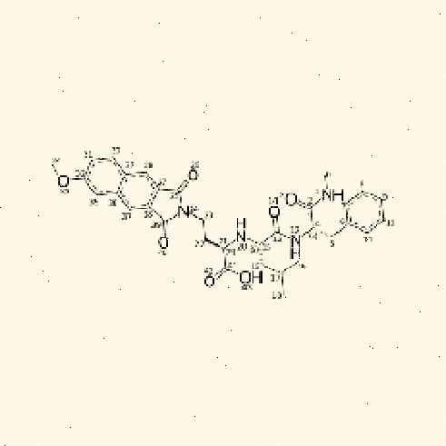 CNC(=O)[C@H](Cc1ccccc1)NC(=O)[C@H](CC(C)C)N[C@H](CCN1C(=O)c2cc3ccc(OC)cc3cc2C1=O)C(=O)O